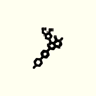 CN1CCN(c2ccc(-c3cc4ncn(C)c(=O)c4c(N4C[C@@H](CO)[C@@H](O)C4)n3)cc2)CC1